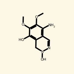 COc1c(N)c2c(c(O)c1OC)CN(O)N=C2